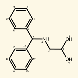 OC(O)CNC(c1ccccc1)c1ccccc1